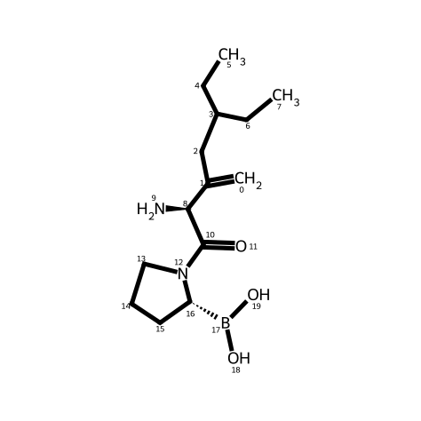 C=C(CC(CC)CC)[C@H](N)C(=O)N1CCC[C@H]1B(O)O